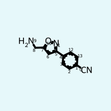 N#Cc1ccc(-c2cc(CN)on2)cc1